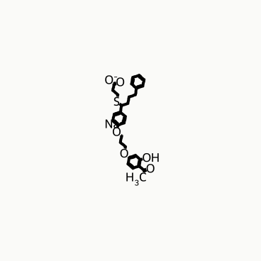 CC(=O)c1ccc(OCCCOc2ccc(C(CCCc3ccccc3)SCCC(=O)[O-])cc2)cc1O.[Na+]